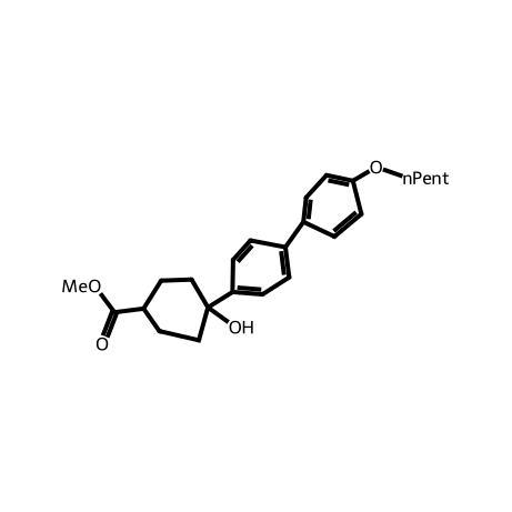 CCCCCOc1ccc(-c2ccc(C3(O)CCC(C(=O)OC)CC3)cc2)cc1